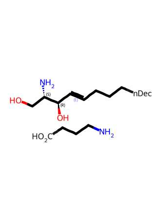 CCCCCCCCCCCCC/C=C/[C@@H](O)[C@@H](N)CO.NCCCC(=O)O